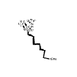 CC(=O)O.CC(=O)O.CC(=O)[O-].CCCCCCCCCCCCCCCCCC(=O)[O-].[Mg+2]